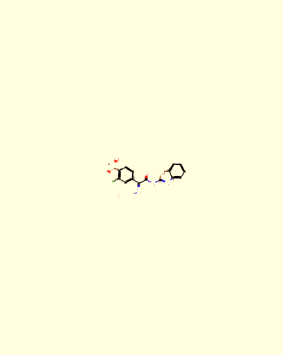 CC(C)CON=C(C(=O)Nc1nc2ccccc2s1)c1ccc(S(C)(=O)=O)c(Cl)c1